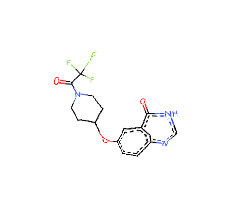 O=C(N1CCC(Oc2ccc3nc[nH]c(=O)c3c2)CC1)C(F)(F)F